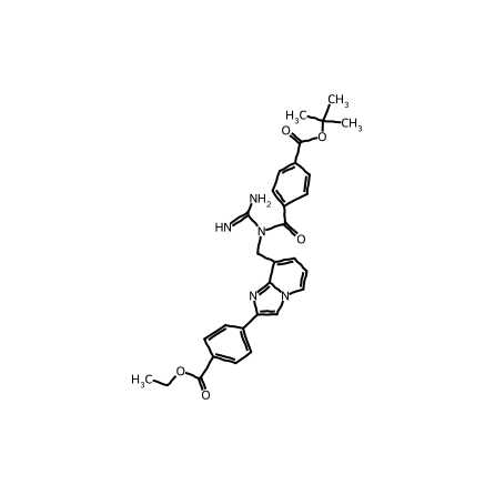 CCOC(=O)c1ccc(-c2cn3cccc(CN(C(=N)N)C(=O)c4ccc(C(=O)OC(C)(C)C)cc4)c3n2)cc1